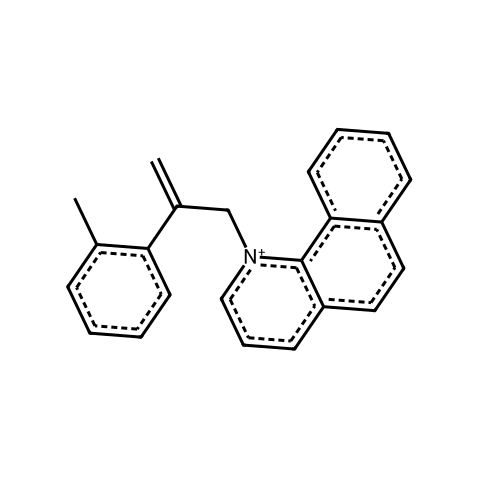 C=C(C[n+]1cccc2ccc3ccccc3c21)c1ccccc1C